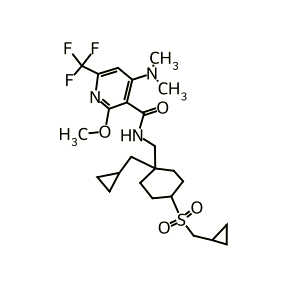 COc1nc(C(F)(F)F)cc(N(C)C)c1C(=O)NCC1(CC2CC2)CCC(S(=O)(=O)CC2CC2)CC1